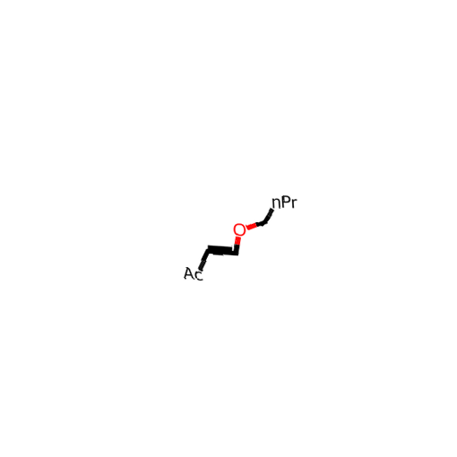 CCCCO/C=C/C(C)=O